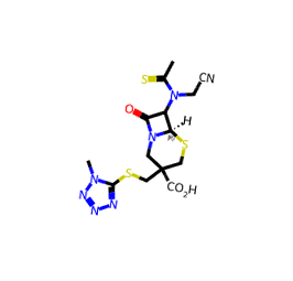 CC(=S)N(CC#N)C1C(=O)N2CC(CSc3nnnn3C)(C(=O)O)CS[C@H]12